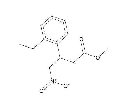 CCc1ccccc1C(CC(=O)OC)C[N+](=O)[O-]